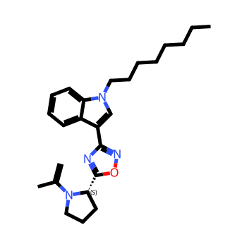 C=C(C)N1CCC[C@H]1c1nc(-c2cn(CCCCCCCC)c3ccccc23)no1